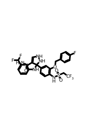 NC(=O)C1=CNNC1(Nc1cccc(C(F)F)n1)c1ccc(NS(=O)(=O)CC(F)(F)F)c(OCc2ccc(F)cc2)c1